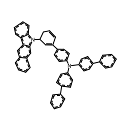 C1=CC(c2ccc(N(c3ccc(-c4ccccc4)cc3)c3ccc(-c4ccccc4)cc3)cc2)=CC(n2c3ccccc3c3cc4ccccc4cc32)C1